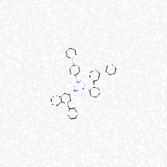 c1ccc(-c2ccc(-c3nc(-c4cc5ccccc5c5c4oc4ccccc45)nc(-c4cccc5oc6c(-c7ccccc7)cccc6c45)n3)cc2)cc1